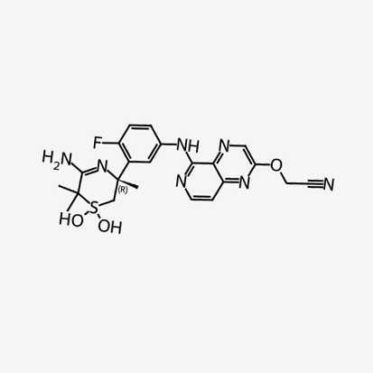 CC1(C)C(N)=N[C@](C)(c2cc(Nc3nccc4nc(OCC#N)cnc34)ccc2F)CS1(O)O